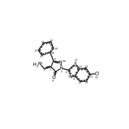 NC=C1C(=O)N(c2nc3ccc(Cl)cc3s2)N=C1c1ccccc1